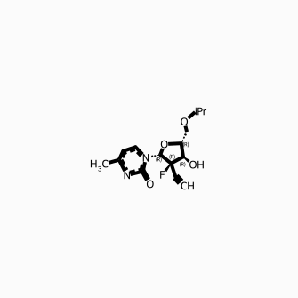 C#C[C@@]1(F)[C@H](O)[C@@H](COC(C)C)O[C@H]1n1ccc(C)nc1=O